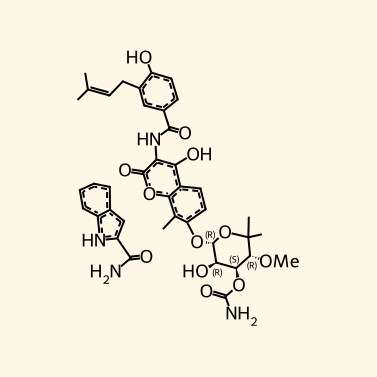 CO[C@@H]1[C@@H](OC(N)=O)[C@@H](O)[C@H](Oc2ccc3c(O)c(NC(=O)c4ccc(O)c(CC=C(C)C)c4)c(=O)oc3c2C)OC1(C)C.NC(=O)c1cc2ccccc2[nH]1